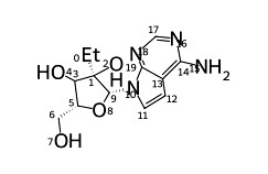 CC[C@@]1(O)C(O)[C@@H](CO)O[C@H]1n1ccc2c(N)ncnc21